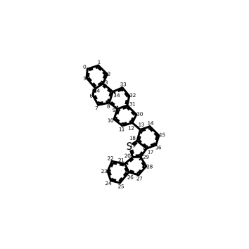 c1ccc2c(c1)ccc1c3ccc(-c4cccc5c4sc4c6ccccc6ccc54)cc3ccc21